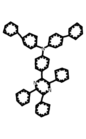 c1ccc(-c2ccc(N(c3ccc(-c4ccccc4)cc3)c3ccc(-c4nc(-c5ccccc5)c(-c5ccccc5)nc4-c4ccccc4)cc3)cc2)cc1